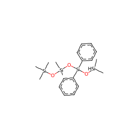 C[SiH](C)O[Si](O[Si](C)(C)O[Si](C)(C)C)(c1ccccc1)c1ccccc1